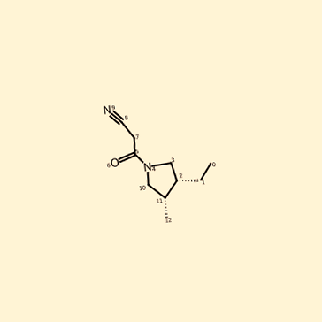 CC[C@H]1CN(C(=O)CC#N)C[C@H]1C